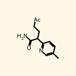 CC(=O)CCC(C(N)=O)c1ccc(C)cn1